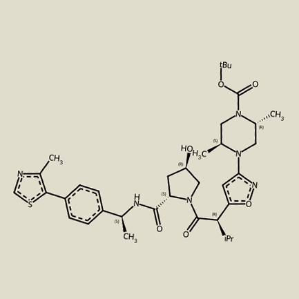 Cc1ncsc1-c1ccc([C@H](C)NC(=O)[C@@H]2C[C@@H](O)CN2C(=O)[C@@H](c2cc(N3C[C@@H](C)N(C(=O)OC(C)(C)C)C[C@@H]3C)no2)C(C)C)cc1